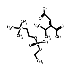 CC(C)/C(=C\C(=O)[O-])C(=O)O.CCOP(=O)(O)OCC[N+](C)(C)C